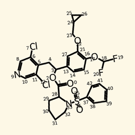 O=C(OC(Cc1c(Cl)cncc1Cl)c1ccc(OC(F)F)c(OCC2CC2)c1)C1CCCCN1S(=O)(=O)c1ccccc1